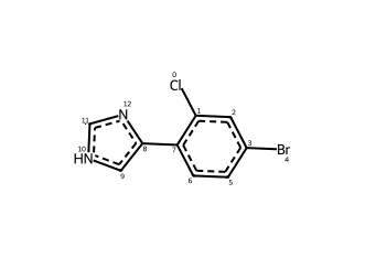 Clc1cc(Br)ccc1-c1c[nH][c]n1